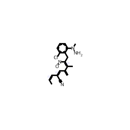 C=C(/C=C(C#N)/C=C\C)/C(C)=C(/Cc1c(Cl)cccc1N(C)N)N=O